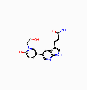 C[C@H](O)Cn1cc(-c2cnc3[nH]cc(C=CC(N)=O)c3c2)ccc1=O